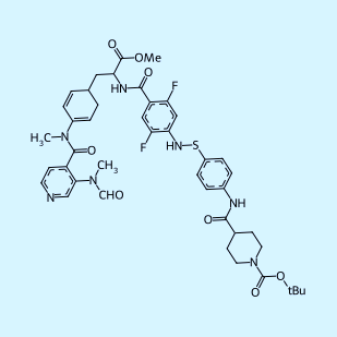 COC(=O)C(CC1C=CC(N(C)C(=O)c2ccncc2N(C)C=O)=CC1)NC(=O)c1cc(F)c(NSc2ccc(NC(=O)C3CCN(C(=O)OC(C)(C)C)CC3)cc2)cc1F